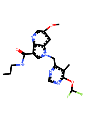 CCCNC(=O)c1cn(Cc2ncnc(OC(F)F)c2C)c2cc(OC)cnc12